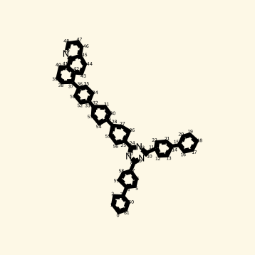 c1ccc(-c2ccc(-c3nc(-c4ccc(-c5ccccc5)cc4)nc(-c4ccc(-c5ccc(-c6ccc(-c7cccc8c7ccc7cccnc78)cc6)cc5)cc4)n3)cc2)cc1